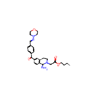 CCCCOC(=O)CN1CCc2cc(C(=O)c3ccc(C=NN4CCOCC4)cc3)ccc2C1N